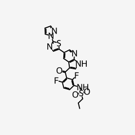 CCCS(=O)(=O)Nc1ccc(F)c(C(=O)c2c[nH]c3ncc(-c4cnc(-n5cccn5)s4)cc23)c1F